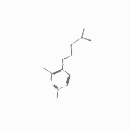 CC(C)CCCc1ccc(Cl)nc1Cl